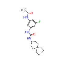 CC(=O)Nc1cc(F)cc(NC(=O)NC2CCC3(CCCCC3)CC2)c1